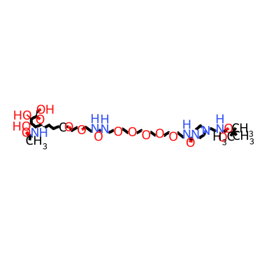 CC(=O)N[C@@H]1[C@@H](O)[C@@H](O)[C@@H](CO)O[C@@H]1CCCCCOCCOCCNC(=O)NCCOCCOCCOCCOCCOCCNC(=O)N1CCN(CCNC(=O)OC(C)(C)C)CC1